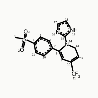 CS(=O)(=O)c1ccc(C2=CC(C(F)(F)F)=CCN2c2ncc[nH]2)cc1